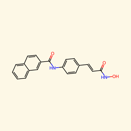 O=C(C=Cc1ccc(NC(=O)c2ccc3ccccc3c2)cc1)NO